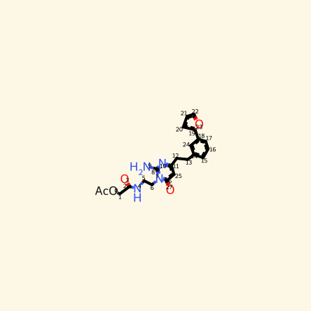 CC(=O)OCC(=O)NCCn1c(N)nc(CCc2cccc(-c3ccco3)c2)cc1=O